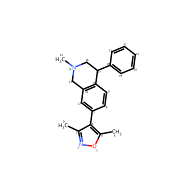 Cc1noc(C)c1-c1ccc2c(c1)CN(C)CC2c1ccccc1